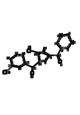 O=C(c1cncnc1)c1cc(C(=O)c2cccc(Cl)c2)c(Cl)s1